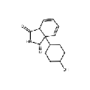 O=C1NC(=O)C2(C3CCC(O)CC3)C=CC=CC12